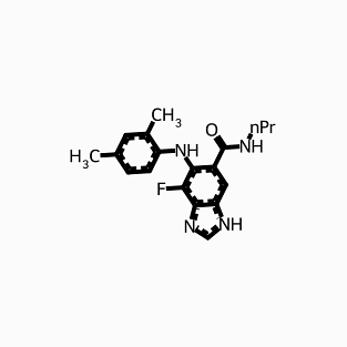 CCCNC(=O)c1cc2[nH]cnc2c(F)c1Nc1ccc(C)cc1C